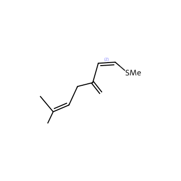 C=C(/C=C\SC)CC=C(C)C